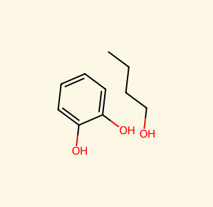 CCCCO.Oc1ccccc1O